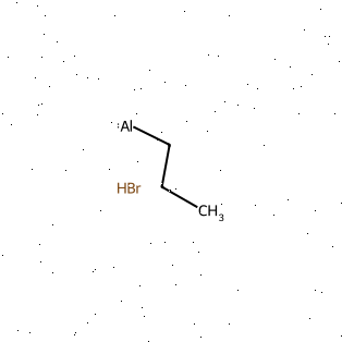 Br.CC[CH2][Al]